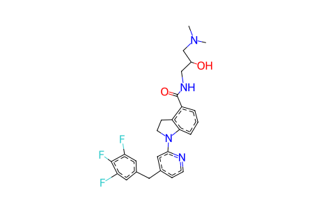 CN(C)CC(O)CNC(=O)c1cccc2c1CCN2c1cc(Cc2cc(F)c(F)c(F)c2)ccn1